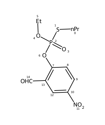 CCCSP(=O)(OCC)Oc1ccc([N+](=O)[O-])cc1C=O